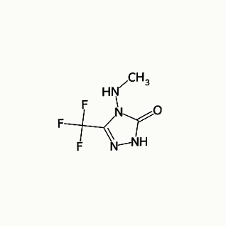 CNn1c(C(F)(F)F)n[nH]c1=O